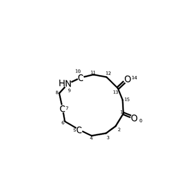 O=C1CCCCCCCNCCCC(=O)C1